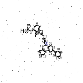 O=C(O)Cc1cccc(OCCO/N=C(\Cc2cccs2)c2ccc(-c3ccccc3)cc2)c1F